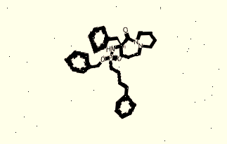 O=C1N2CCCCN2CCC[C@]1(Cc1ccccc1)NP(=O)(CCCCc1ccccc1)OCc1ccccc1